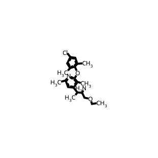 CCOCC(N)C(C)c1cc(C)nc(Oc2c(C)cc(Cl)cc2C)c1C